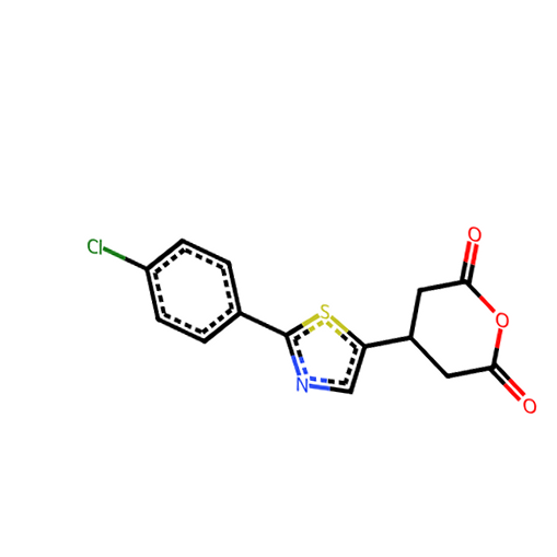 O=C1CC(c2cnc(-c3ccc(Cl)cc3)s2)CC(=O)O1